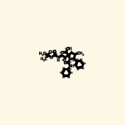 CC1CC(C(=O)O)(C(=O)CNC(=O)OC(C)(C)C)N(C(=O)Nc2ccccc2)C1c1ccccc1